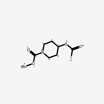 CC(C)(C)OC(=O)N1CCC(SC(=O)I)CC1